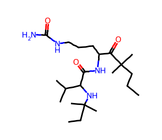 CCCC(C)(C)C(=O)C(CCCNC(N)=O)NC(=O)C(NC(C)(C)CC)C(C)C